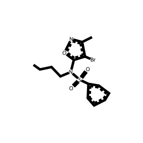 CCCCN(c1onc(C)c1Br)S(=O)(=O)c1ccccc1